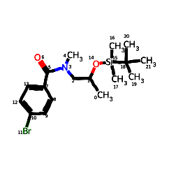 CC(CN(C)C(=O)c1ccc(Br)cc1)O[Si](C)(C)C(C)(C)C